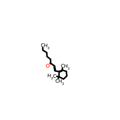 CCCCCC(=O)C=CC1=C(C)CCCC1(C)C